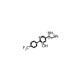 CC(C)C[C@H](N)c1cnc(-c2ccc(C(F)(F)F)cc2)nc1.Cl